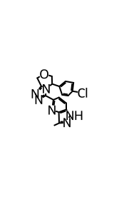 Cc1n[nH]c2ccc(-c3nnc4n3C(c3ccc(Cl)cc3)COC4)nc12